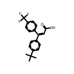 CC(C)(C)c1ccc(C(=CC(=O)O)c2ccc(C(F)(F)F)cc2)cc1